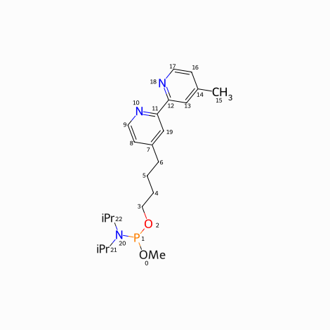 COP(OCCCCc1ccnc(-c2cc(C)ccn2)c1)N(C(C)C)C(C)C